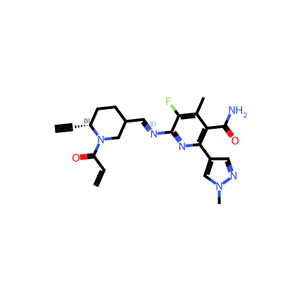 C#C[C@@H]1CCC(/C=N/c2nc(-c3cnn(C)c3)c(C(N)=O)c(C)c2F)CN1C(=O)C=C